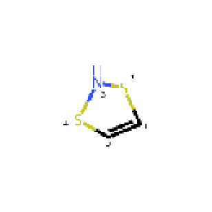 [C]1=CSNS1